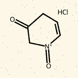 Cl.O=C1CC=C[N+](=O)C1